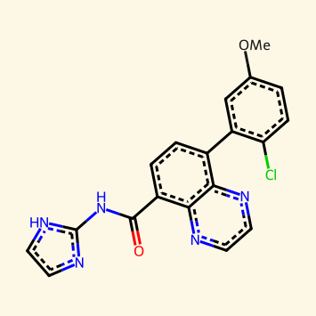 COc1ccc(Cl)c(-c2ccc(C(=O)Nc3ncc[nH]3)c3nccnc23)c1